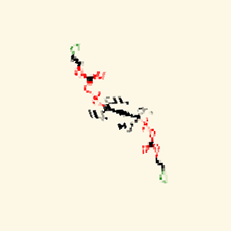 CC(C)(C#CC(C)(C)OOOC(=O)OCCCl)OOOC(=O)OCCCl